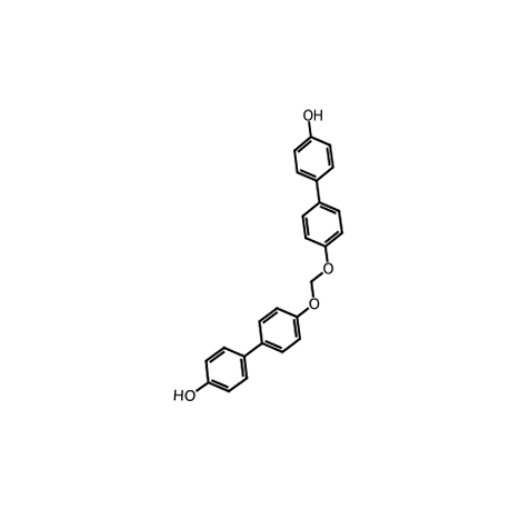 Oc1ccc(-c2ccc(OCOc3ccc(-c4ccc(O)cc4)cc3)cc2)cc1